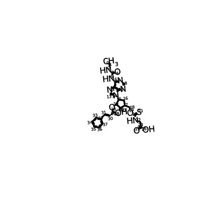 CCNC(=O)Nc1ncnc2c1ncn2C1CC(COC(=S)NCC(=O)O)[C@H]2O[C@@H](C=Cc3ccccc3)OC12